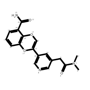 CN(C)C(=O)Cc1cncc(C2=COc3c(cccc3C(N)=O)O2)c1